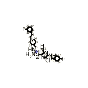 N/C(=N\C(=O)c1nc(Cl)c(NCc2ccc(I)cc2)nc1N)NCC1CCN(CCc2cccc(F)c2)CC1